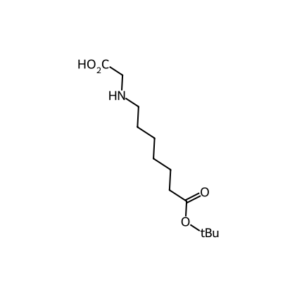 CC(C)(C)OC(=O)CCCCCCNCC(=O)O